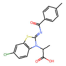 Cc1ccc(C(=O)N=c2sc3cc(Cl)ccc3n2C(C)C(=O)O)cc1